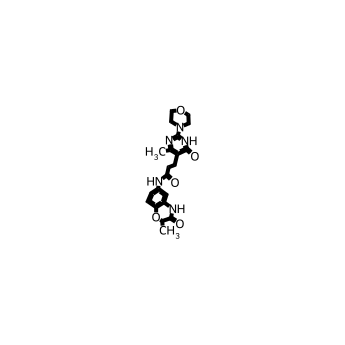 Cc1nc(N2CCOCC2)[nH]c(=O)c1CCC(=O)Nc1ccc2c(c1)NC(=O)C(C)O2